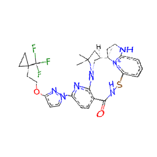 CC1(C)C[C@@H]2CN1c1nc(-n3ccc(OCCC4(C(F)(F)F)CC4)n3)ccc1C(=O)NSc1cccc3[n+]1[C@]2(C)CCN3